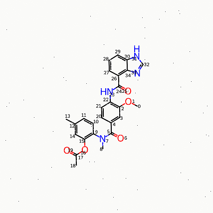 COc1cc(C(=O)N(C)c2ccc(C)cc2OC(C)=O)ccc1NC(=O)c1cccc2[nH]cnc12